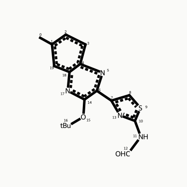 Cc1ccc2nc(-c3csc(NC=O)n3)c(OC(C)(C)C)nc2c1